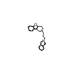 c1ccc2cn(CCCN3CCc4oc5ccccc5c4C3)cc2c1